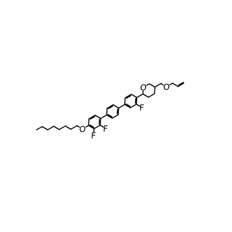 C=CCOCC1CCC(c2ccc(-c3ccc(-c4ccc(OCCCCCCCC)c(F)c4F)cc3)cc2F)OC1